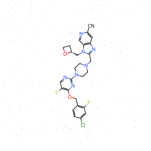 N#Cc1cc2nc(CN3CCN(c4ncc(F)c(OCc5ccc(Cl)cc5F)n4)CC3)n(C[C@@H]3CCO3)c2cn1